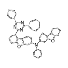 C1=CCC=CC(c2nc(-c3ccccc3)nc(-c3cccc4oc5cc(N(c6ccccc6)c6ccc7c(c6)oc6ccccc67)ccc5c34)n2)=C1